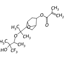 C=C(C)C(=O)OC1CC2OC1CC2C(C)(C)OC(C)C(C)(O)C(F)(F)F